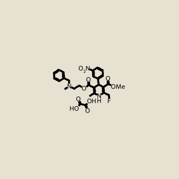 COC(=O)C1=C(CF)NC(C)=C(C(=O)OCCN(C)Cc2ccccc2)C1c1cccc([N+](=O)[O-])c1.O=C(O)C(=O)O